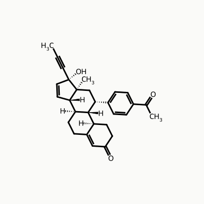 CC#C[C@]1(O)C=C[C@H]2[C@@H]3CCC4=CC(=O)CC[C@@H]4[C@H]3[C@@H](c3ccc(C(C)=O)cc3)C[C@@]21C